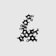 O=C1NCCN1C1CCN(S(=O)(=O)N[C@H]2CC3=C(c4ccn(C(F)F)n4)[C@H](c4ccc(F)cc4Cl)N=C(c4nccs4)N3C2)CC1